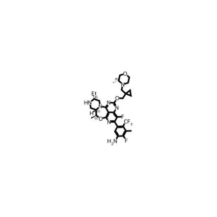 CC[C@@H]1CN2c3nc(OCC4(CN5CCOC[C@H]5C)CC4)nc4c(F)c(-c5cc(N)c(F)c(C)c5C(F)(F)F)nc(c34)O[C@@H](C)[C@@H]2CN1